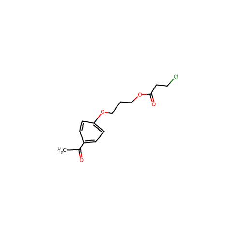 CC(=O)c1ccc(OCCCOC(=O)CCCl)cc1